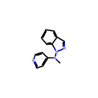 CN(c1ccncc1)n1ncc2ccccc21